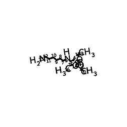 CCO[Si](CCNCCCCCCN)(OCC)OCC